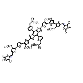 CCCCCCCCc1cc(/C=C2\SC(=S)NC2=O)sc1-c1ccc(-c2sc(-c3nc4c(-c5ccc(CC(CC)CCCC)s5)c5sc(-c6cc(CCCCCCCC)c(-c7ccc(-c8sc(/C=C9\SC(=S)N(C)C9=O)cc8CCCCCCCC)s7)s6)nc5c(-c5ccc(CC(CC)CCCC)s5)c4s3)cc2CCCCCCCC)s1